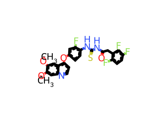 COc1cc2nccc(Oc3ccc(NC(=S)NC(=O)Cc4c(F)ccc(F)c4F)c(F)c3)c2cc1OC